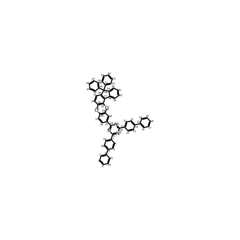 c1ccc(-c2ccc(-c3nc(-c4ccc(-c5ccccc5)cc4)nc(-c4ccc5c(c4)Oc4c(ccc6c4-c4ccccc4C6(c4ccccc4)c4ccccc4)O5)n3)cc2)cc1